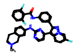 CN1CCc2ccc(Nc3nccc(-c4c(-c5cccc(NC(=O)c6c(F)cccc6F)c5)nn5cc(F)ccc45)n3)cc2C1